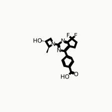 C[C@H]1[C@H](O)CN1c1nc(-c2ccc(C(=O)O)cc2)c2c(n1)C(F)(F)CC2